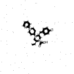 CC[C@H]1CN(C2CCN(c3ccccn3)CC2)[C@@H](Cc2ccc(Cl)cc2)CN1C(=O)O